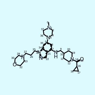 CN1CCN(c2cc(NCC3CCN(C(=O)C4CC4)CC3)c3cnn(CCCN4CCOCC4)c3c2)CC1